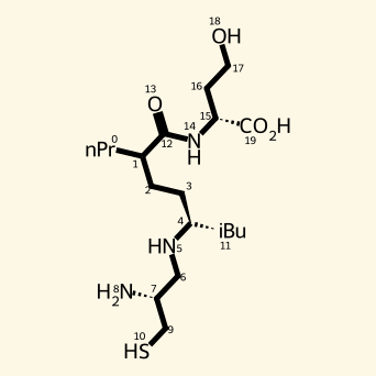 CCCC(CC[C@H](NC[C@@H](N)CS)[C@@H](C)CC)C(=O)N[C@H](CCO)C(=O)O